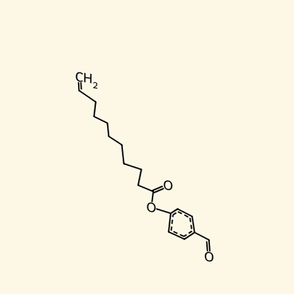 C=CCCCCCCCCC(=O)Oc1ccc(C=O)cc1